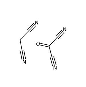 N#CC(=O)C#N.N#CCC#N